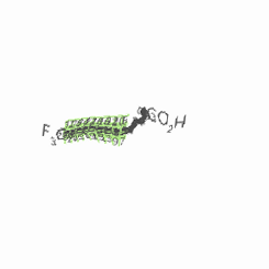 C=C(CCCC(F)(F)C(F)(F)C(F)(F)C(F)(F)C(F)(F)C(F)(F)C(F)(F)C(F)(F)C(F)(F)C(F)(F)F)C(=O)O